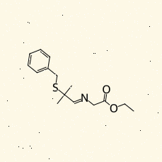 CCOC(=O)CN=CC(C)(C)SCc1ccccc1